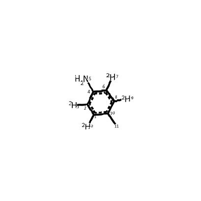 [2H]c1c([2H])c(N)c([2H])c([2H])c1C